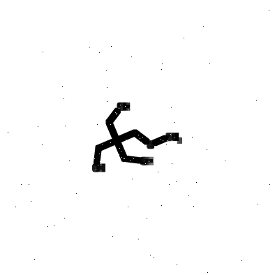 OCC(CO)(CO)CO[SiH3]